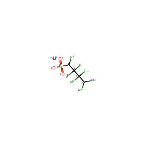 O=S(=O)([O-])C(F)C(F)(F)C(F)(F)C(F)F.[Li+]